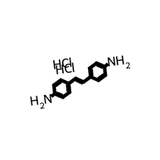 Cl.Cl.Nc1ccc(C=Cc2ccc(N)cc2)cc1